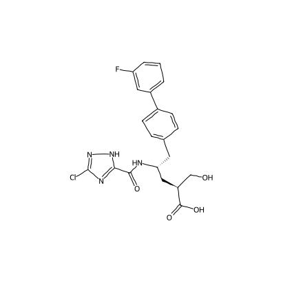 O=C(N[C@H](Cc1ccc(-c2cccc(F)c2)cc1)C[C@@H](CO)C(=O)O)c1nc(Cl)n[nH]1